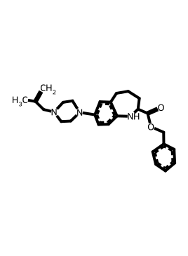 C=C(C)CN1CCN(c2ccc3c(c2)CCCC(C(=O)OCc2ccccc2)N3)CC1